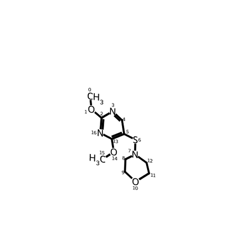 COc1ncc(SN2CCOCC2)c(OC)n1